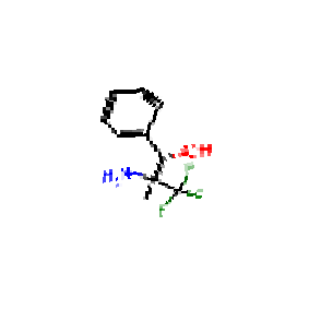 C[C@@](N)([C@@H](O)c1ccccc1)C(F)(F)F